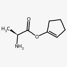 C[C@H](N)C(=O)OC1=CCCC1